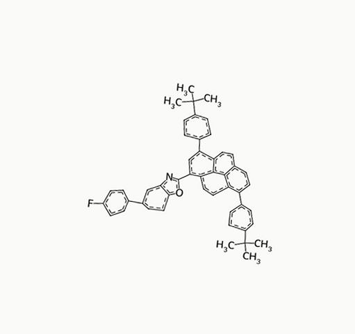 CC(C)(C)c1ccc(-c2ccc3ccc4c(-c5ccc(C(C)(C)C)cc5)cc(-c5nc6cc(-c7ccc(F)cc7)ccc6o5)c5ccc2c3c45)cc1